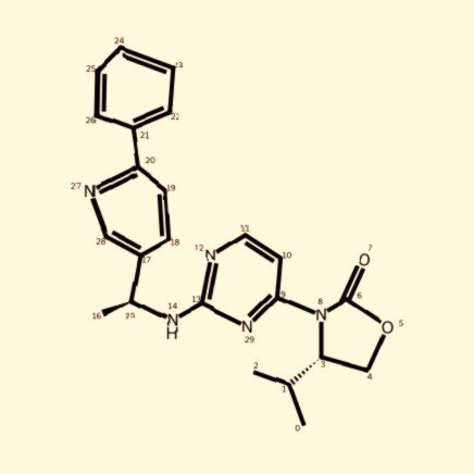 CC(C)[C@H]1COC(=O)N1c1ccnc(N[C@@H](C)c2ccc(-c3ccccc3)nc2)n1